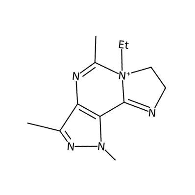 CC[N+]12CCN=C1c1c(c(C)nn1C)N=C2C